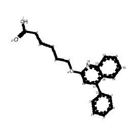 O=C(O)CCCCCOc1cc(-c2ccccc2)c2ccccc2n1